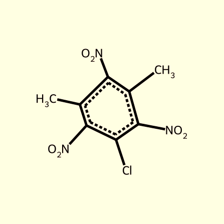 Cc1c([N+](=O)[O-])c(C)c([N+](=O)[O-])c(Cl)c1[N+](=O)[O-]